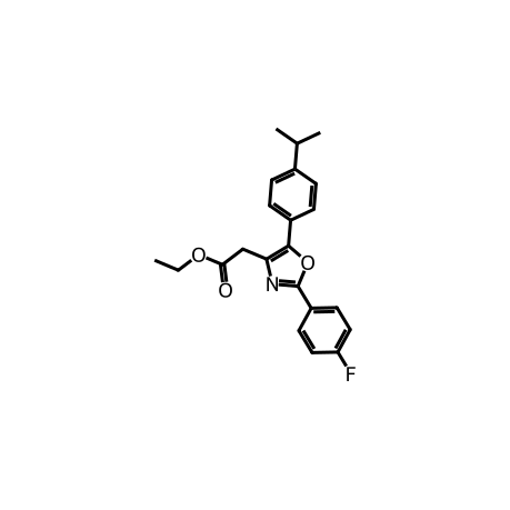 CCOC(=O)Cc1nc(-c2ccc(F)cc2)oc1-c1ccc(C(C)C)cc1